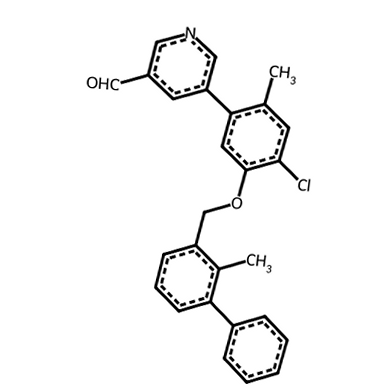 Cc1cc(Cl)c(OCc2cccc(-c3ccccc3)c2C)cc1-c1cncc(C=O)c1